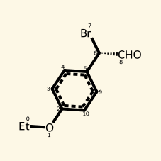 CCOc1ccc([C@H](Br)C=O)cc1